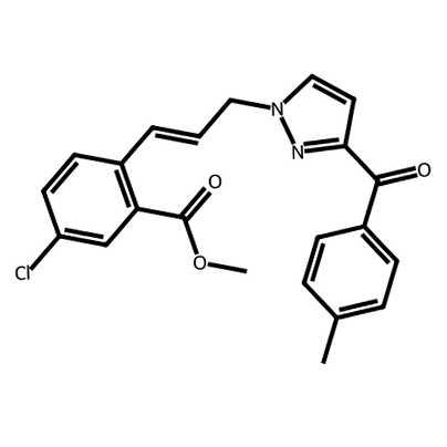 COC(=O)c1cc(Cl)ccc1C=CCn1ccc(C(=O)c2ccc(C)cc2)n1